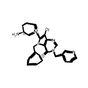 N#Cc1c(N2CCC[C@H](N)C2)n(Cc2ccccc2)c2c(=O)n(Cc3cccnc3)cnc12